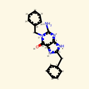 Nc1nc2[nH]c(Cc3ccccc3)nc2c(=O)n1Cc1ccccc1